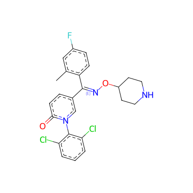 Cc1cc(F)ccc1/C(=N\OC1CCNCC1)c1ccc(=O)n(-c2c(Cl)cccc2Cl)c1